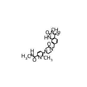 CNC(=O)c1ccc(N2CCN(Cc3ccc4c(=S)n(C)c(=O)[nH]c4c3)C(=O)C2)c(C)n1